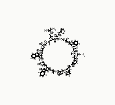 CCCC[C@H]1C(=O)N(C)[C@@H](CCCC)C(=O)N[C@@H](CCCNC(=N)N)C(=O)N[C@H](C(=O)NCC(N)=O)CSCC(=O)N[C@@H](Cc2ccccc2)C(=O)N(C)[C@@H](C)C(=O)N[C@@H](CC(N)=O)C(=O)N2CCC[C@H]2C(=O)N[C@@H](Cc2cncs2)C(=O)N[C@@H](CC(C)C)C(=O)N(C)CC(=O)N[C@@H](Cc2c[nH]c3ccccc23)C(=O)N[C@@H](CO)C(=O)N[C@@H](Cc2c[nH]c3ccccc23)C(=O)N1C